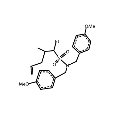 C=CCC(C)C(CC)S(=O)(=O)N(Cc1ccc(OC)cc1)Cc1ccc(OC)cc1